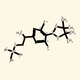 CC(CO[Si](C(C)C)(C(C)C)C(C)C)c1cc(F)c(B2OC(C)(C)C(C)(C)O2)c(F)c1